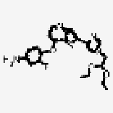 CCOC(Cn1cnc(-c2cc3nccc(Oc4ccc(N)cc4F)c3s2)c1)OCC